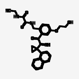 N#CCNC(=O)C(=O)NCc1ccc(OCCO)cc1C(=O)C(=N)C1(c2cccc3ccccc23)CC1